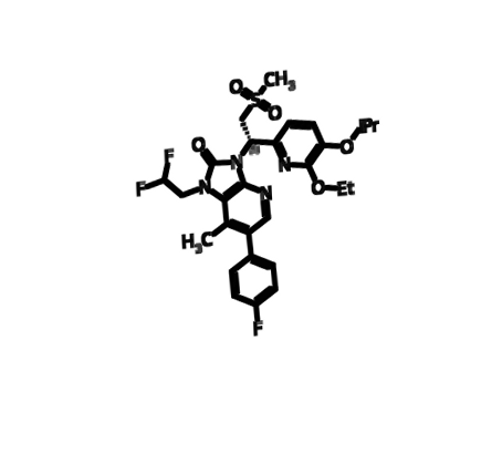 CCOc1nc([C@@H](CS(C)(=O)=O)n2c(=O)n(CC(F)F)c3c(C)c(-c4ccc(F)cc4)cnc32)ccc1OC(C)C